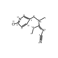 CSC(=NC#N)N(C)Cc1ccc(Cl)nc1